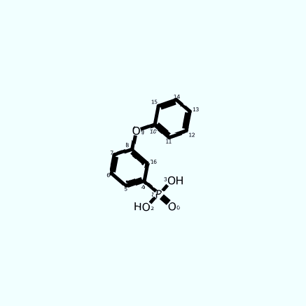 O=P(O)(O)c1cccc(Oc2ccccc2)c1